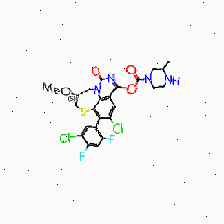 CO[C@@H]1CSc2c(-c3cc(Cl)c(F)cc3F)c(Cl)cc3c(OC(=O)N4CCNC(C)C4)nc(=O)n(c23)C1